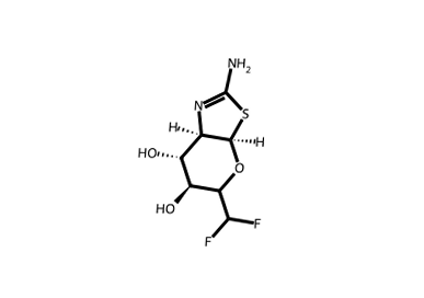 NC1=N[C@@H]2[C@@H](O)[C@H](O)C(C(F)F)O[C@@H]2S1